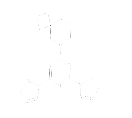 c1cnn(-c2nc(N3CCNC4(COC4)C3)nc(-n3cccn3)n2)c1